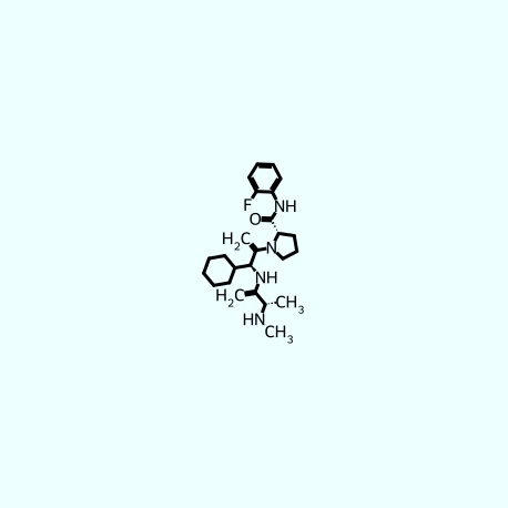 C=C(N[C@H](C(=C)N1CCC[C@H]1C(=O)Nc1ccccc1F)C1CCCCC1)[C@H](C)NC